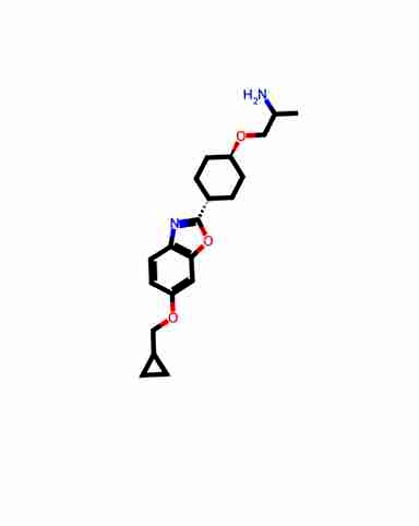 CC(N)CO[C@H]1CC[C@H](c2nc3ccc(OCC4CC4)cc3o2)CC1